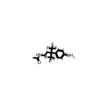 CC(=O)NCCC(c1ccc(N)cc1)(C(F)(F)F)C(F)(F)F